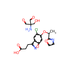 CC(Oc1cc2onc(CCC(=O)O)c2cc1Cl)c1ncco1.NC(C=O)(C=O)CO